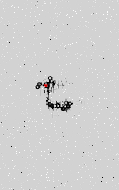 CN[C@@H](C)C(=O)NC(C(=O)N1C[C@@H](NC(=O)CCOCCC(=O)N2CCn3nc(Nc4cc(-c5ccnc(-n6ncc7cc(C(C)(C)C)cc(F)c7c6=O)c5CO)cn(C)c4=O)cc3C2)C[C@H]1C(=O)N[C@@H]1CCCc2ccccc21)C1CCCCC1